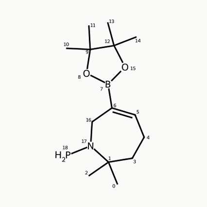 CC1(C)CCC=C(B2OC(C)(C)C(C)(C)O2)CN1P